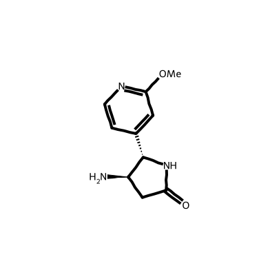 COc1cc([C@@H]2NC(=O)C[C@H]2N)ccn1